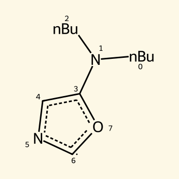 CCCCN(CCCC)c1cn[c]o1